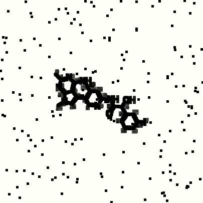 Cc1nc(N)c2c(-c3cnc(NC(=O)C(O)c4cccc(F)c4)cc3C)cn(C)c2n1